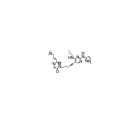 CCCNc1nc(Nc2ccn(C)n2)ncc1C#CCCCNC(=O)[C@H](C)N(C)C(=O)/C=C/CN(C)C